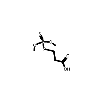 COP(=S)(OC)SCCC(=O)O